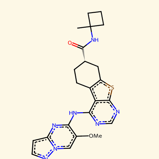 COc1cn2nccc2nc1Nc1ncnc2sc3c(c12)CC[C@H](C(=O)NC1(C)CCC1)C3